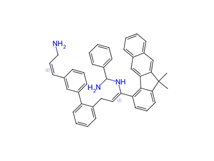 CC1(C)c2cc3ccccc3cc2-c2c(/C(=C/Cc3ccccc3-c3cccc(/C=C\CN)c3)NC(N)c3ccccc3)cccc21